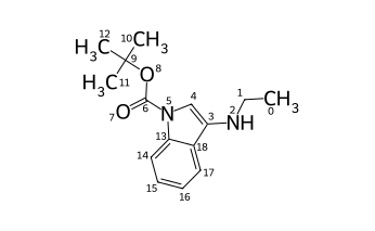 CCNc1cn(C(=O)OC(C)(C)C)c2ccccc12